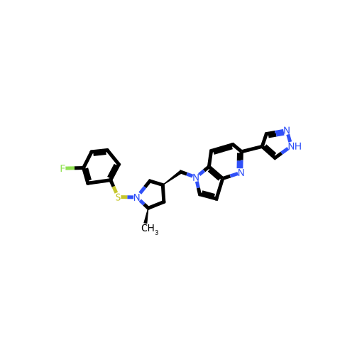 C[C@@H]1C[C@H](Cn2ccc3nc(-c4cn[nH]c4)ccc32)CN1Sc1cccc(F)c1